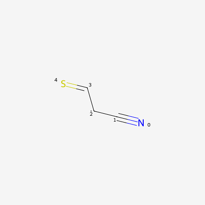 N#C[CH]C=S